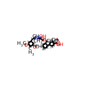 COc1cc(CC(C)(C)NC[C@@H](O)COC(C)c2ccccc2-c2ccc(C(=O)O)c(C)c2)cc(OC)c1C